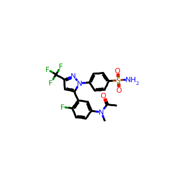 CC(=O)N(C)c1ccc(F)c(-c2cc(C(F)(F)F)nn2-c2ccc(S(N)(=O)=O)cc2)c1